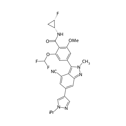 COc1cc(-c2c3c(C#N)cc(-c4cnn(C(C)C)c4)cc3nn2C)cc(OC(F)F)c1C(=O)N[C@@H]1C[C@@H]1F